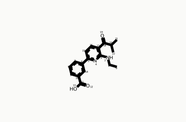 CCNc1nc(-c2cccc(C(=O)O)c2)ccc1C(=O)C(C)C